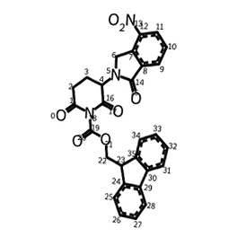 O=C1CCC(N2Cc3c(cccc3[N+](=O)[O-])C2=O)C(=O)N1C(=O)OCC1c2ccccc2-c2ccccc21